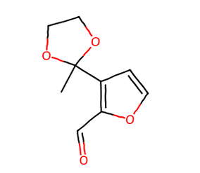 CC1(c2ccoc2C=O)OCCO1